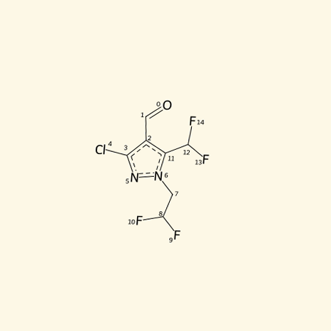 O=Cc1c(Cl)nn(CC(F)F)c1C(F)F